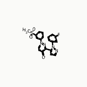 CS(=O)(=O)c1cccc(-n2ccc(=O)c(-c3ccnn3-c3cccc(F)c3)n2)c1